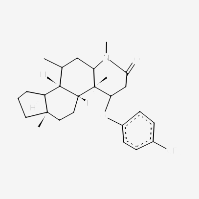 CC1CC2N(C)C(=O)CC(Oc3ccc(C(F)(F)F)cc3)[C@]2(C)[C@@H]2CC[C@]3(C)CCC[C@H]3[C@H]12